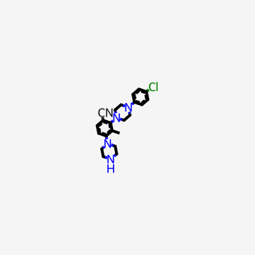 Cc1c(N2CCNCC2)ccc(C#N)c1N1CCN(c2ccc(Cl)cc2)CC1